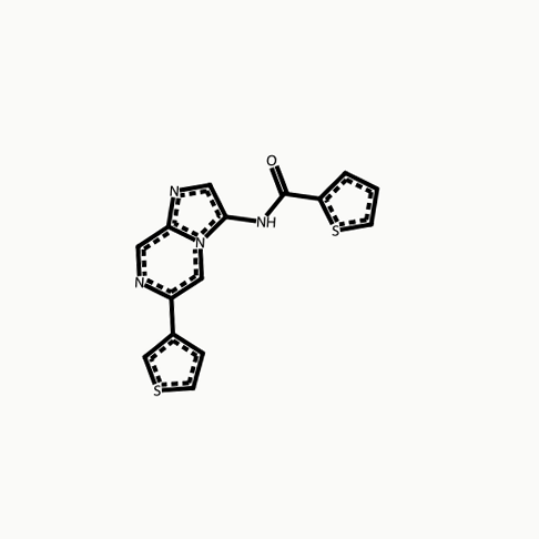 O=C(Nc1cnc2cnc(-c3ccsc3)cn12)c1cccs1